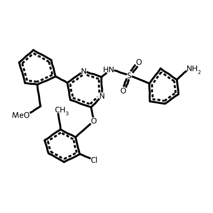 COCc1ccccc1-c1cc(Oc2c(C)cccc2Cl)nc(NS(=O)(=O)c2cccc(N)c2)n1